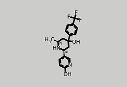 C[C@H]1CC(O)(c2ccc(C(F)(F)F)cc2)C[C@@H](c2ccc(O)nc2)N1